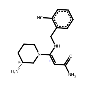 N#Cc1ccccc1CN/C(=C\C(N)=O)N1CCC[C@@H](N)C1